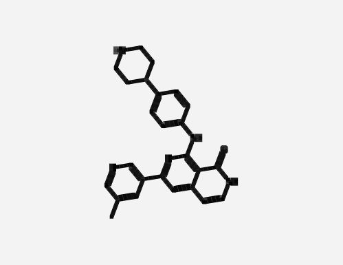 Cc1cncc(-c2cc3cc[nH]c(=O)c3c(Nc3ccc(C4CCNCC4)cc3)n2)c1